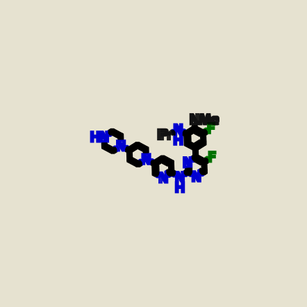 CNc1c(F)cc(-c2nc(Nc3ccc(N4CCC(N5CCNCC5)CC4)cn3)ncc2F)cc1NC(C)C